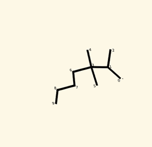 [CH2]C(C)C(C)(C)CCCC